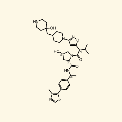 Cc1ncsc1-c1ccc([C@H](C)NC(=O)[C@@H]2C[C@@H](O)CN2C(=O)[C@@H](c2cc(N3CCC(CC4(O)CCNCC4)CC3)no2)C(C)C)cc1